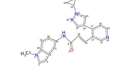 Cn1ccc2cc(NC(=O)C=Cc3cnccc3-c3cnn(C4CC4)c3)ccc21